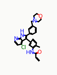 C=CC(=O)Nc1cc(-c2c(-c3cccc(CN4CCOCC4)c3)[nH]c3nccc(Cl)c23)ccc1C